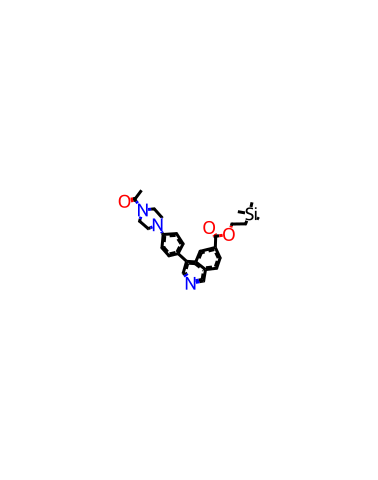 CC(=O)N1CCN(c2ccc(-c3cncc4ccc(C(=O)OCC[Si](C)(C)C)cc34)cc2)CC1